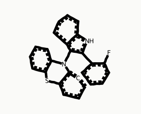 Fc1ccccc1-c1[nH]c2ccccc2c1N1c2ccccc2Sc2ccccc21